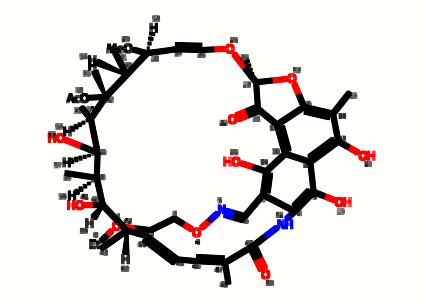 CCOCCO/N=C/c1c2c(O)c3c(O)c(C)c4c(c3c1O)C(=O)[C@@](C)(O/C=C/[C@H](OC)[C@@H](C)[C@@H](OC(C)=O)[C@H](C)[C@H](O)[C@H](C)[C@@H](O)[C@@H](C)/C=C/C=C(/C)C(=O)N2)O4